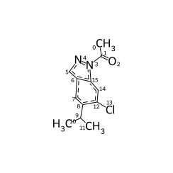 CC(=O)n1ncc2cc(C(C)C)c(Cl)cc21